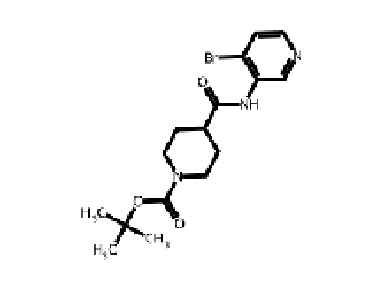 CC(C)(C)OC(=O)N1CCC(C(=O)Nc2cnccc2Br)CC1